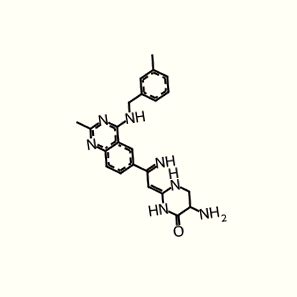 Cc1cccc(CNc2nc(C)nc3ccc(C(=N)/C=C4\NCC(N)C(=O)N4)cc23)c1